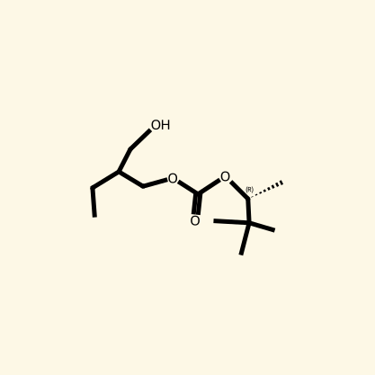 CCC(CO)COC(=O)O[C@H](C)C(C)(C)C